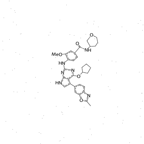 COc1cc(C(=O)NC2CCCOC2)ccc1Nc1nc(OC2CCCC2)c2c(-c3ccc4nc(C)oc4c3)c[nH]c2n1